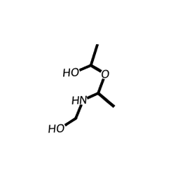 CC(O)OC(C)NCO